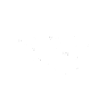 COC(=O)c1ccc(-c2ccccc2)cc1NC(=O)c1cc(OCCN2CCN(C(=O)OC(C)(C)C)CC2)ccc1C